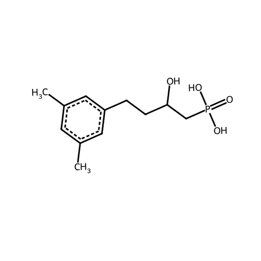 Cc1cc(C)cc(CCC(O)CP(=O)(O)O)c1